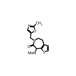 CNC1C(=O)N(Cc2cnc(C)o2)CCc2ccsc21